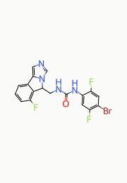 O=C(NCC1c2c(F)cccc2-c2cncn21)Nc1cc(F)c(Br)cc1F